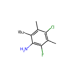 CCC(C)c1c(C)c(Cl)c(C)c(F)c1N